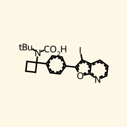 CC(C)(C)N(C(=O)O)C1(c2ccc(-c3oc4ncccc4c3I)cc2)CCC1